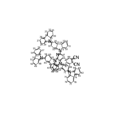 N#Cc1ccc(-c2cc(-n3c4ccccc4c4cc(-n5c6ccccc6c6ccccc65)ccc43)nc(-n3c4ccccc4c4cc(-n5c6ccccc6c6ccccc65)ccc43)c2-n2c3ccccc3c3cc(-n4c5ccccc5c5ccccc54)ccc32)cc1C#N